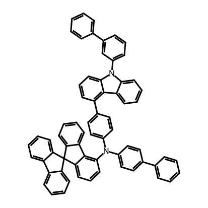 c1ccc(-c2ccc(N(c3ccc(-c4cccc5c4c4ccccc4n5-c4cccc(-c5ccccc5)c4)cc3)c3cccc4c3-c3ccccc3C43c4ccccc4-c4ccccc43)cc2)cc1